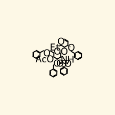 CCC1OC=C[C@H](OCc2ccccc2)[C@@H]1O[C@@H]1OC(COCc2ccccc2)[C@@H](OC(C)=O)[C@@H](OCc2ccccc2)C1NS(=O)(=O)c1ccccc1